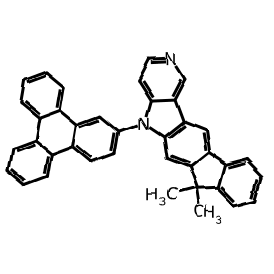 CC1(C)c2ccccc2-c2cc3c4cnccc4n(-c4ccc5c6ccccc6c6ccccc6c5c4)c3cc21